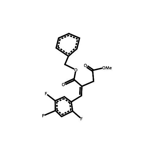 COC(=O)C/C(=C/c1cc(F)c(F)cc1F)C(=O)OCc1ccccc1